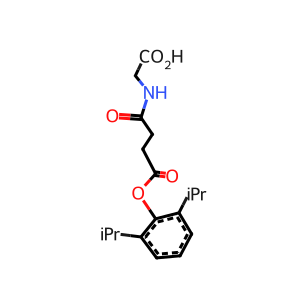 CC(C)c1cccc(C(C)C)c1OC(=O)CCC(=O)NCC(=O)O